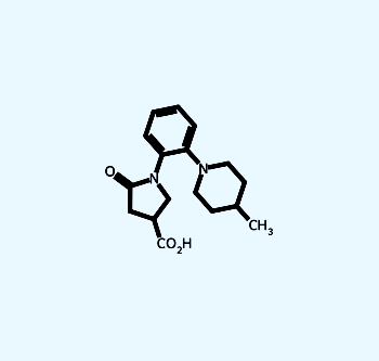 CC1CCN(c2ccccc2N2CC(C(=O)O)CC2=O)CC1